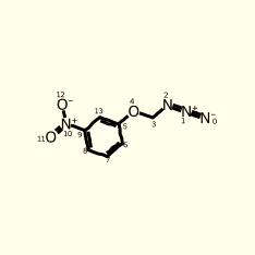 [N-]=[N+]=NCOc1cccc([N+](=O)[O-])c1